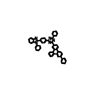 c1ccc(-c2ccc3c4ccc(-c5nc(-c6ccccc6)nc(-c6ccc(-c7nc8ccccc8n7-c7ccccc7)cc6)n5)cc4c4ccccc4c3c2)cc1